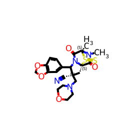 CN1C(=O)[C@@]23C[C@@](C#N)(CN4CCOCC4)C(c4ccc5c(c4)OCO5)N2C(=O)[C@]1(C)S3=S